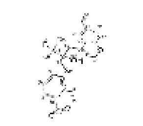 O=c1occc2c(NCC(O)(CC3CCOc4ccc(F)cc43)C(F)(F)F)cccc12